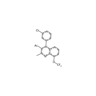 CC(=O)c1c(C)nc2c(OC(F)(F)F)cccc2c1-c1cccc(Cl)c1